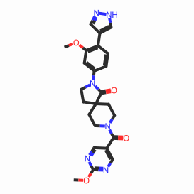 COc1ncc(C(=O)N2CCC3(CC2)CCN(c2ccc(-c4cn[nH]c4)c(OC)c2)C3=O)cn1